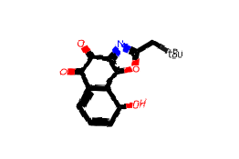 CC(C)(C)Cc1nc2c(o1)C1C(=CC=CC1O)C(=O)C2=O